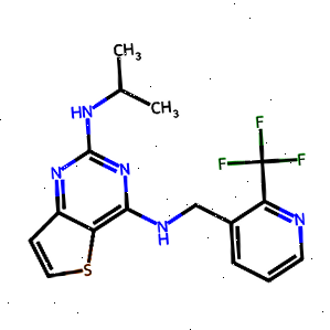 CC(C)Nc1nc(NCc2cccnc2C(F)(F)F)c2sccc2n1